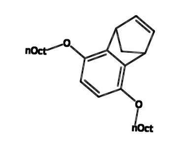 CCCCCCCCOc1ccc(OCCCCCCCC)c2c1C1C=CC2C1